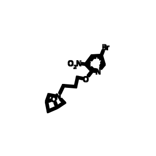 O=[N+]([O-])c1cc(Br)cnc1OCCCN1CC2CC(C1)O2